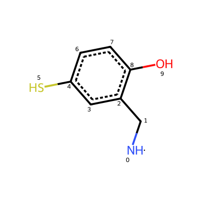 [NH]Cc1cc(S)ccc1O